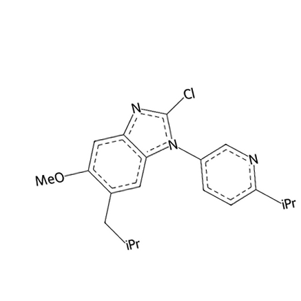 COc1cc2nc(Cl)n(-c3ccc(C(C)C)nc3)c2cc1CC(C)C